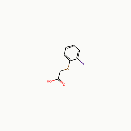 O=C(O)CSc1ccccc1I